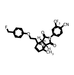 CC12C=CC(CCOc3ccc(CF)cc3)(O1)[C@@H]1C(=O)N(c3ccc(C#N)c(C(F)(F)F)c3)C(=O)[C@@H]12